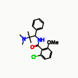 COc1cccc(Cl)c1C(=O)NC(c1ccccc1)C(C)(C)N(C)C